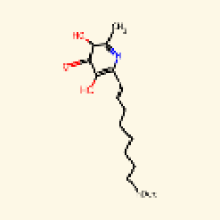 CCCCCCCCCCCCCCCCC=CC1=C(O)C(=O)C(O)C(C)=N1